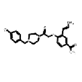 CC=Cc1cc(C(C)=O)ccc1OCC(=O)N1CCN(Cc2ccc(Cl)cc2)CC1